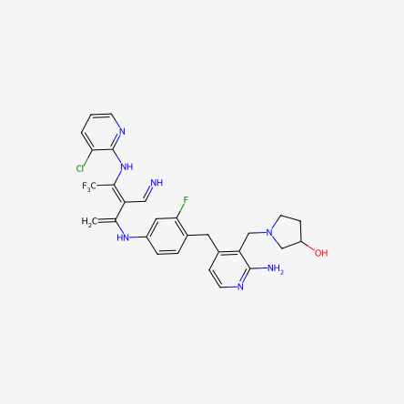 C=C(Nc1ccc(Cc2ccnc(N)c2CN2CCC(O)C2)c(F)c1)/C(C=N)=C(/Nc1ncccc1Cl)C(F)(F)F